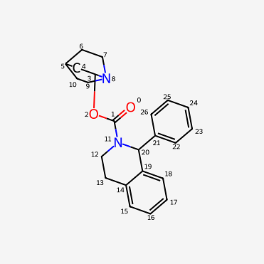 O=C(OC1CC2CCN1CC2)N1CCc2ccccc2C1c1ccccc1